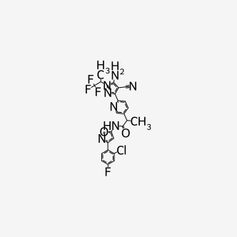 CC(C(=O)Nc1cc(-c2ccc(F)cc2Cl)no1)c1ccc(-c2nn(C(C)C(F)(F)F)c(N)c2C#N)nc1